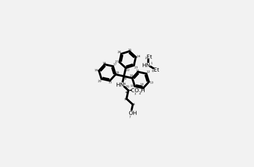 CCNCC.O=C(O)[C@H](CCO)NC(c1ccccc1)(c1ccccc1)c1ccccc1